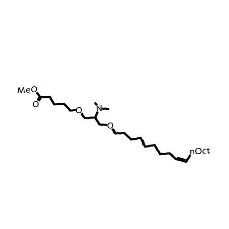 CCCCCCCC/C=C\CCCCCCCCOCC(COCCCCC(=O)OC)N(C)C